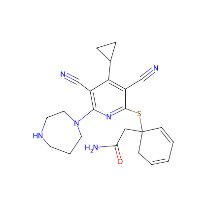 N#Cc1c(SC2(CC(N)=O)C=CC=CC2)nc(N2CCCNCC2)c(C#N)c1C1CC1